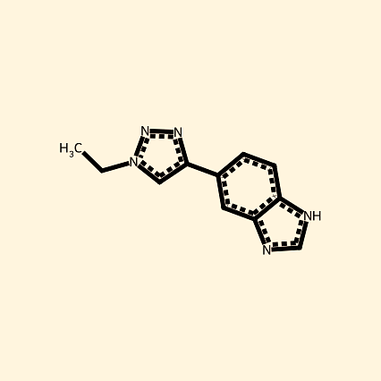 CCn1cc(-c2ccc3[nH]cnc3c2)nn1